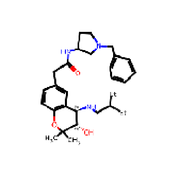 CCC(CC)CN[C@@H]1c2cc(CC(=O)NC3CCN(Cc4ccccc4)C3)ccc2OC(C)(C)[C@H]1O